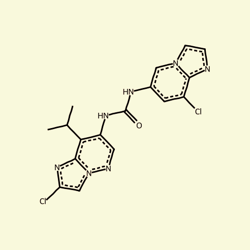 CC(C)c1c(NC(=O)Nc2cc(Cl)c3nccn3c2)cnn2cc(Cl)nc12